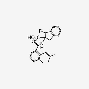 CC(C)=Cc1c(C)cccc1C(=O)NC1(C(=O)O)Cc2ccccc2C1F